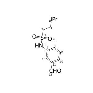 CC(C)CCS(=O)(=O)Nc1cccc(C=O)c1